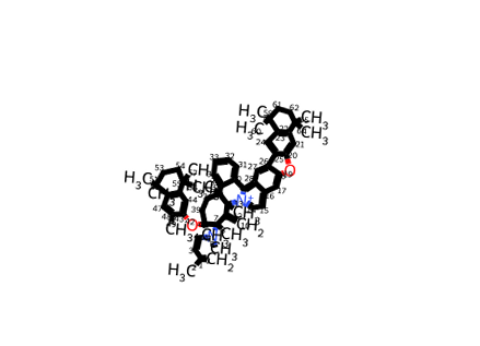 C=C(C)/C=C\N(C)C1(C)C(=C)C2(C)[n+]3ccc4cc5oc6cc7c(cc6c5cc4c3-c3ccccc3C2(C)CCC1(C)Oc1cc2c(cc1C)C(C)(C)CCC2(C)C)C(C)(C)CCC7(C)C